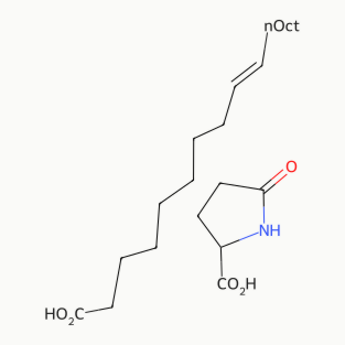 CCCCCCCCC=CCCCCCCCC(=O)O.O=C1CCC(C(=O)O)N1